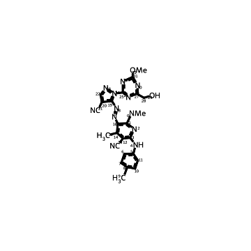 CNc1nc(Nc2ccc(C)cc2)c(C#N)c(C)c1/N=N/c1c(C#N)cnn1-c1nc(CO)nc(OC)n1